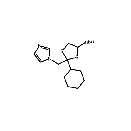 CCCCC1CSC(Cn2ccnc2)(C2CCCCC2)S1